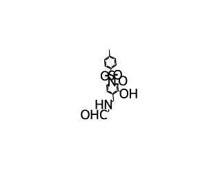 Cc1ccc(S(=O)(=O)n2ccc(CNCC=O)c(O)c2=O)cc1